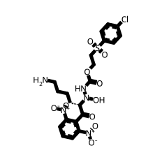 NCCCC[C@@H](C(=O)c1c([N+](=O)[O-])cccc1[N+](=O)[O-])N(O)NC(=O)OCCS(=O)(=O)c1ccc(Cl)cc1